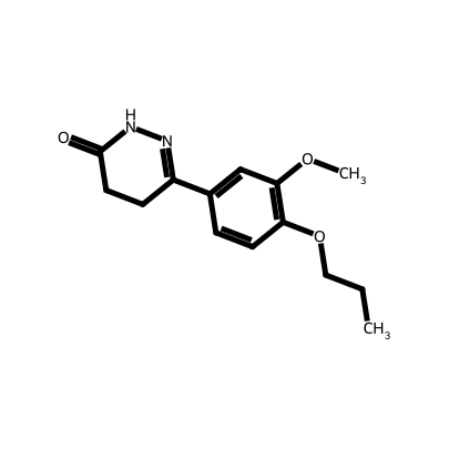 CCCOc1ccc(C2=NNC(=O)CC2)cc1OC